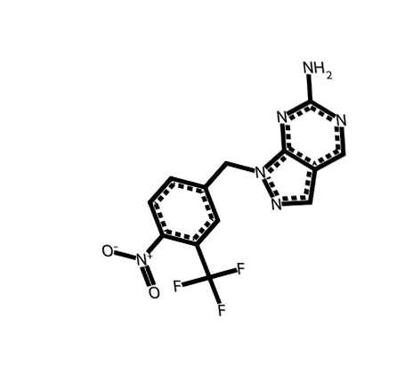 Nc1ncc2cnn(Cc3ccc([N+](=O)[O-])c(C(F)(F)F)c3)c2n1